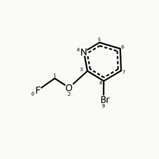 FCOc1ncccc1Br